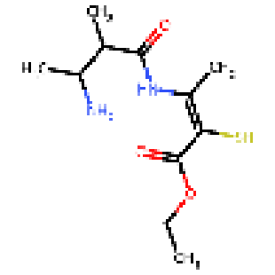 CCOC(=O)C(S)=C(C)NC(=O)C(C)C(C)N